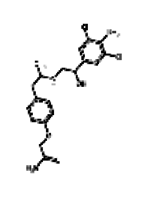 CC(Cc1ccc(OCC(N)=O)cc1)NCC(O)c1cc(Cl)c(N)c(Cl)c1